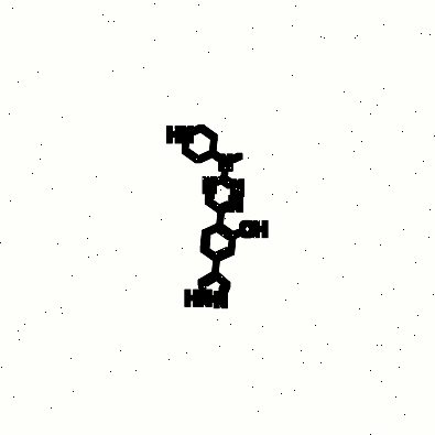 CN(c1ncc(-c2ccc(-c3cn[nH]c3)cc2O)nn1)C1CCNCC1